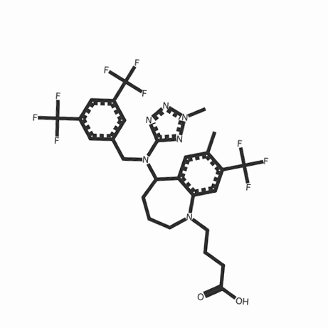 Cc1cc2c(cc1C(F)(F)F)N(CCCC(=O)O)CCCC2N(Cc1cc(C(F)(F)F)cc(C(F)(F)F)c1)c1nnn(C)n1